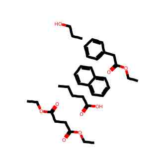 CCCCC(=O)O.CCCO.CCOC(=O)CCC(=O)OCC.CCOC(=O)Cc1ccccc1.c1ccc2ccccc2c1